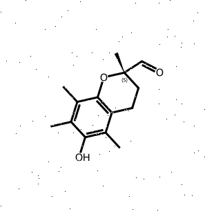 Cc1c(C)c2c(c(C)c1O)CC[C@@](C)(C=O)O2